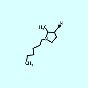 CCCCCCN1CCC(C#N)C1C